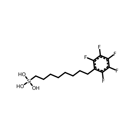 O[Si](O)(O)CCCCCCCCc1c(F)c(F)c(F)c(F)c1F